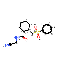 N#CCNC(=O)[C@@H]1CCCC[C@H]1CS(=O)(=O)c1ccccc1